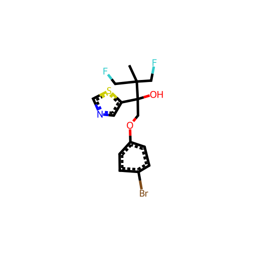 CC(CF)(CF)C(O)(COc1ccc(Br)cc1)c1cncs1